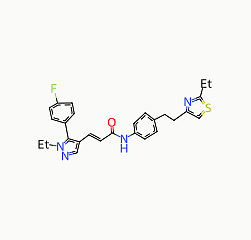 CCc1nc(CCc2ccc(NC(=O)C=Cc3cnn(CC)c3-c3ccc(F)cc3)cc2)cs1